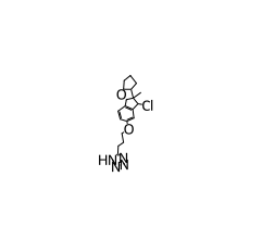 CC1(C2CCCC2)C(=O)c2ccc(OCCCc3nnn[nH]3)cc2C1Cl